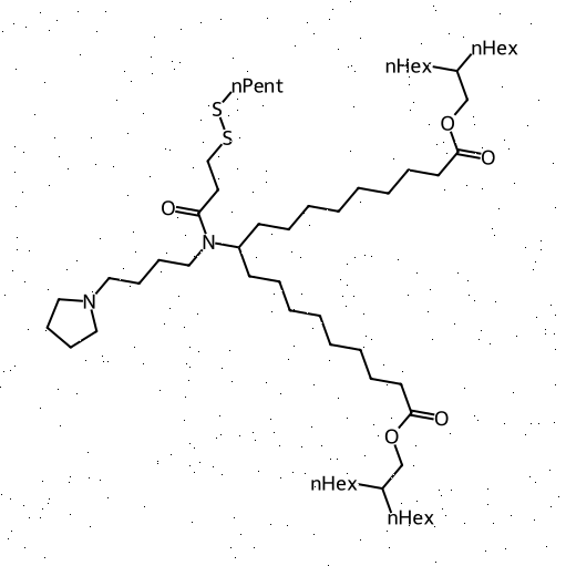 CCCCCCC(CCCCCC)COC(=O)CCCCCCCCC(CCCCCCCCC(=O)OCC(CCCCCC)CCCCCC)N(CCCCN1CCCC1)C(=O)CCSSCCCCC